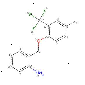 Cc1ccc(OCc2ccccc2N)c(C(F)(F)F)c1